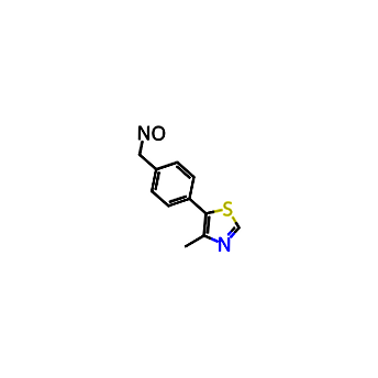 Cc1ncsc1-c1ccc(CN=O)cc1